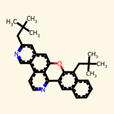 CC(C)(C)Cc1cc2cc3c4c(nccc4c2cn1)-c1cc2ccccc2c(CC(C)(C)C)c1O3